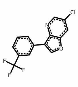 FC(F)(F)c1cccc(-c2coc3cc(Cl)cnc23)c1